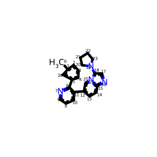 Cc1cccc(-c2ncccc2-c2ccc3ncc(N4CCCC4)n3c2)c1